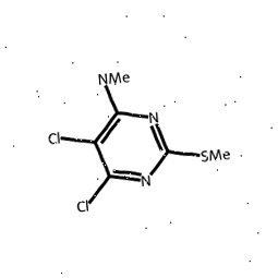 CNc1nc(SC)nc(Cl)c1Cl